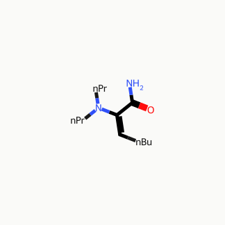 CCCC/C=C(\C(N)=O)N(CCC)CCC